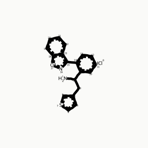 Cl.NC(Cc1ccsc1)c1ccccc1-c1noc2ccccc12